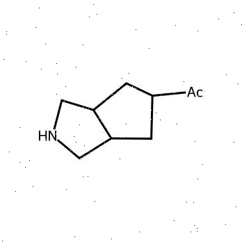 CC(=O)C1CC2CNCC2C1